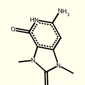 C=C1N(C)c2cc(N)[nH]c(=O)c2N1C